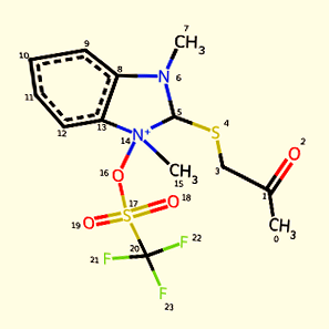 CC(=O)CSC1N(C)c2ccccc2[N+]1(C)OS(=O)(=O)C(F)(F)F